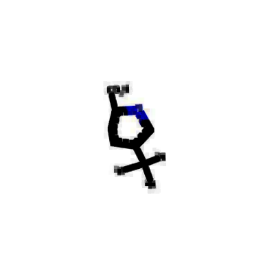 [2H]C([2H])([2H])c1ccc(C(=O)O)nc1